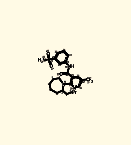 CC(C)CC1CCCCCN1c1ncc(C(F)(F)F)cc1C(=O)Nc1cccc(S(N)(=O)=O)c1